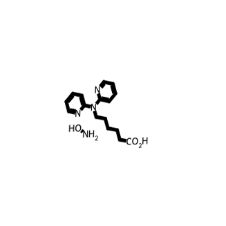 NO.O=C(O)CCCCCN(c1ccccn1)c1ccccn1